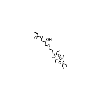 C=CC(=O)OCC(O)COCCC[Si](CC)(CC)O[Si](CC)(CC)O[Si](C)(CC)CC